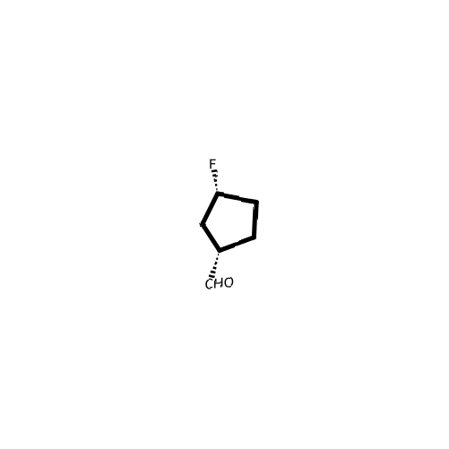 O=C[C@H]1CC[C@@H](F)C1